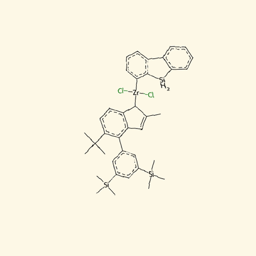 CC1=Cc2c(ccc(C(C)(C)C)c2-c2cc([Si](C)(C)C)cc([Si](C)(C)C)c2)[CH]1[Zr]([Cl])([Cl])[c]1cccc2c1[SiH2]c1ccccc1-2